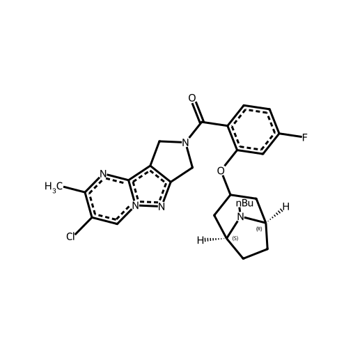 CCCCN1[C@@H]2CC[C@H]1CC(Oc1cc(F)ccc1C(=O)N1Cc3nn4cc(Cl)c(C)nc4c3C1)C2